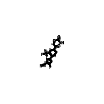 Cc1cc(-c2ccc(C3=NNC(=O)OC3)cc2C(F)(F)F)sc1C#N